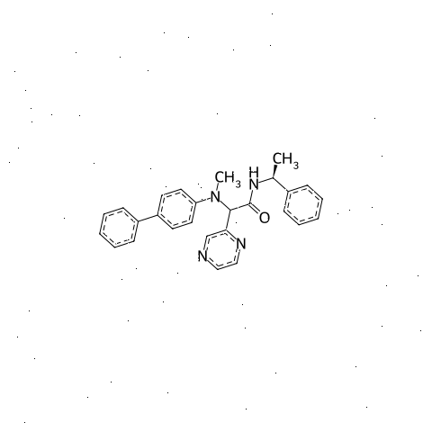 C[C@H](NC(=O)C(c1cnccn1)N(C)c1ccc(-c2ccccc2)cc1)c1ccccc1